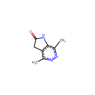 Cc1nnc(C)c2c1CC(=O)N2